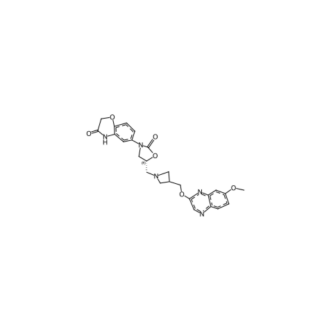 COc1ccc2ncc(OCC3CN(C[C@@H]4CN(c5ccc6c(c5)NC(=O)CO6)C(=O)O4)C3)nc2c1